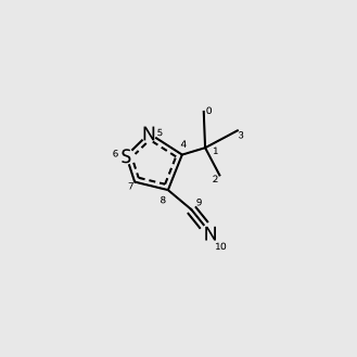 CC(C)(C)c1nscc1C#N